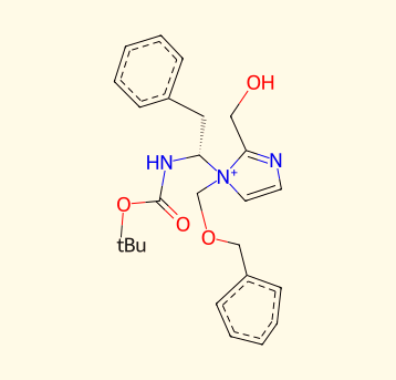 CC(C)(C)OC(=O)N[C@H](Cc1ccccc1)[N+]1(COCc2ccccc2)C=CN=C1CO